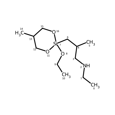 CCNCC(C)C[Si]1(OCC)OCC(C)CO1